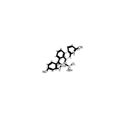 CC(C)(C)[S@+]([O-])N[C@@H](Cc1cccc(C#N)n1)c1ccccc1-c1noc2cc(C#N)ccc12